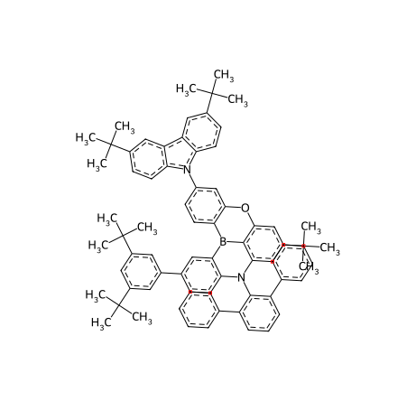 CC(C)(C)c1cc(-c2ccc3c(c2)B2c4ccc(-n5c6ccc(C(C)(C)C)cc6c6cc(C(C)(C)C)ccc65)cc4Oc4cc(C(C)(C)C)cc(c42)N3c2c(-c3ccccc3)cccc2-c2ccccc2)cc(C(C)(C)C)c1